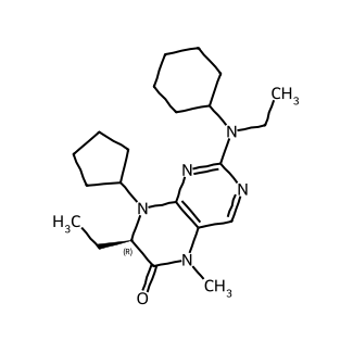 CC[C@@H]1C(=O)N(C)c2cnc(N(CC)C3CCCCC3)nc2N1C1CCCC1